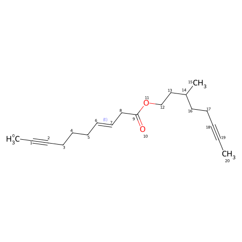 CC#CCCC/C=C/CC(=O)OCCC(C)CCC#CC